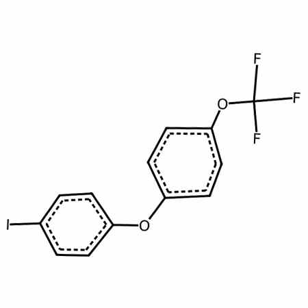 FC(F)(F)Oc1ccc(Oc2ccc(I)cc2)cc1